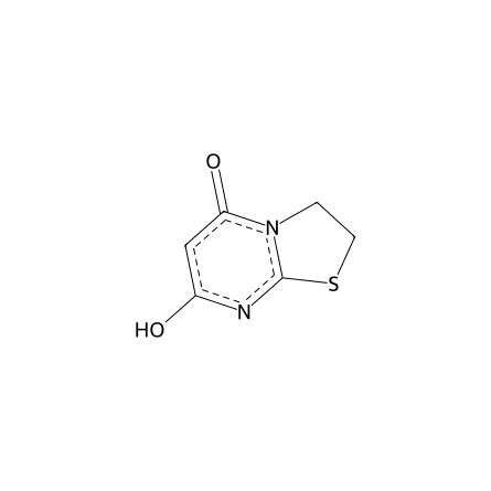 O=c1cc(O)nc2n1CCS2